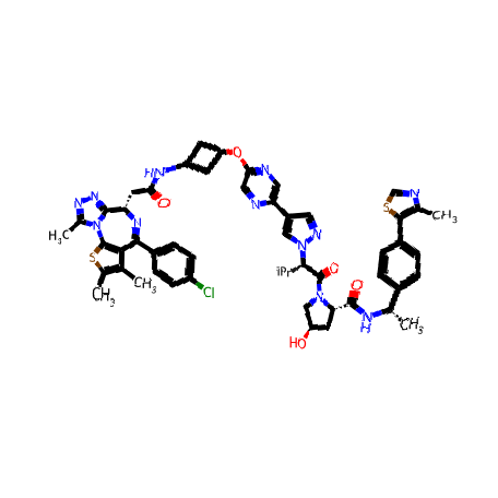 Cc1ncsc1-c1ccc([C@H](C)NC(=O)[C@@H]2C[C@@H](O)CN2C(=O)[C@@H](C(C)C)n2cc(-c3cnc(OC4CC(NC(=O)C[C@@H]5N=C(c6ccc(Cl)cc6)c6c(sc(C)c6C)-n6c(C)nnc65)C4)cn3)cn2)cc1